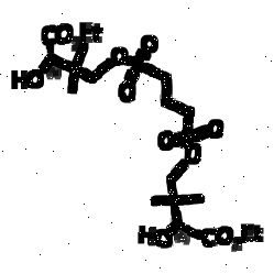 CCOC(=O)[C@@H](O)C(C)(C)COS(=O)(=O)CCCS(=O)(=O)OCC(C)(C)[C@H](O)C(=O)OCC